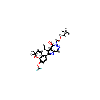 CCc1c(-c2ccc(OC(F)F)c3c2C=CC(C)(C)O3)[nH]c2cnn(COCC[Si](C)(C)C)c(=O)c12